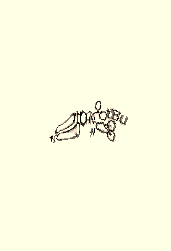 CN(C)C1=CS(=O)(=O)C=C1N[C@@H](Cc1ccc(OC(O)N(C)C)cc1)C(=O)OC(C)(C)C